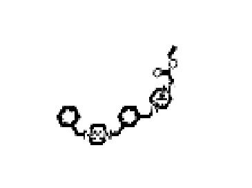 C=COC(=O)C[N+]12CC[N+](Cc3cccc(C[N+]45CC[N+](Cc6ccccc6)(CC4)CC5)c3)(CC1)CC2